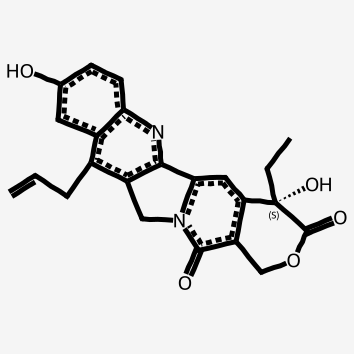 C=CCc1c2c(nc3ccc(O)cc13)-c1cc3c(c(=O)n1C2)COC(=O)[C@]3(O)CC